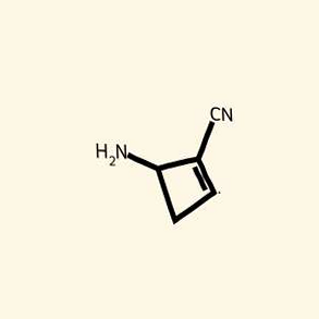 N#CC1=[C]CC1N